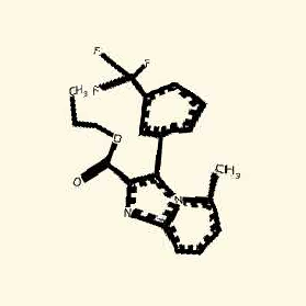 CCOC(=O)c1nc2cccc(C)n2c1-c1cccc(C(F)(F)F)c1